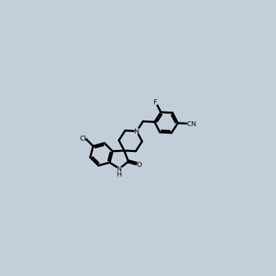 N#Cc1ccc(CN2CCC3(CC2)C(=O)Nc2ccc(Cl)cc23)c(F)c1